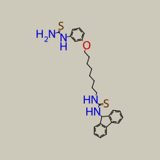 NC(=S)Nc1cccc(OCCCCCCCCNC(=S)NC2c3ccccc3-c3ccccc32)c1